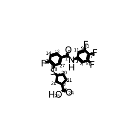 O=C(Nc1cc(F)c(F)c(F)c1)c1ccc(F)c(SC2CCC(C(=O)O)C2)c1